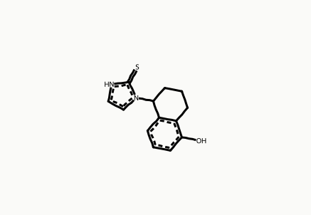 Oc1cccc2c1CCCC2n1cc[nH]c1=S